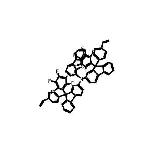 C=Cc1ccc(C2(c3c(F)c(F)c(F)c(F)c3F)c3ccccc3-c3ccc(N(c4ccc5c(c4)C(c4ccc(C=C)cc4)(c4c(F)c(F)c(F)c(F)c4F)c4ccccc4-5)c4cccc5c4oc4ccccc45)cc32)cc1